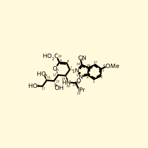 COc1ccc2nn([C@H]3C=C(C(=O)O)O[C@@H]([C@H](O)[C@H](O)CO)[C@@H]3NC(=O)C(C)C)c(C#N)c2c1